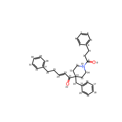 O=C(CCc1ccccc1)N1CCC(Cc2ccccc2)(C(=O)/C=C/CCc2ccccc2)CC1